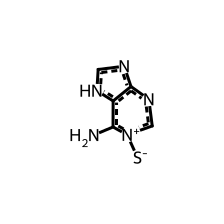 Nc1c2[nH]cnc2nc[n+]1[S-]